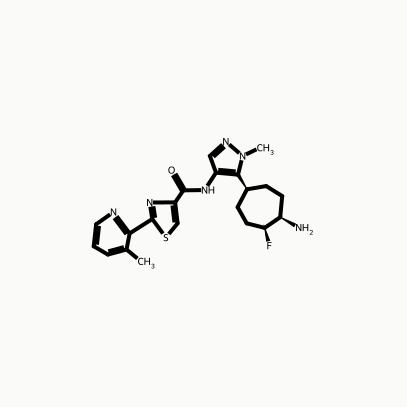 Cc1cccnc1-c1nc(C(=O)Nc2cnn(C)c2[C@H]2CC[C@@H](N)[C@@H](F)CC2)cs1